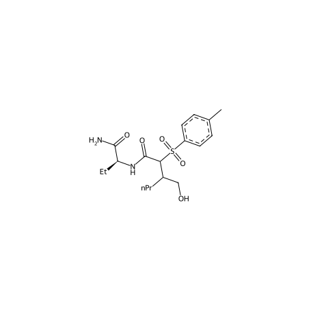 CCCC(CO)C(C(=O)N[C@@H](CC)C(N)=O)S(=O)(=O)c1ccc(C)cc1